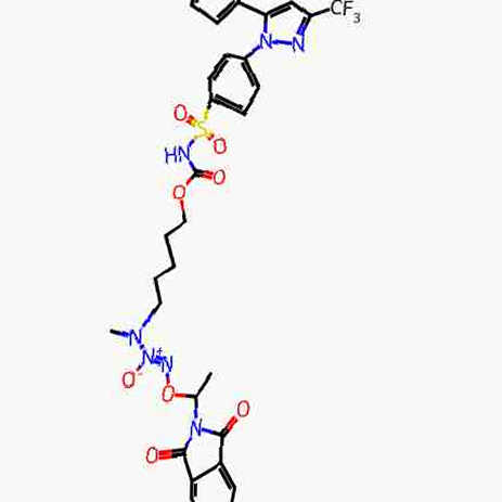 Cc1ccc(-c2cc(C(F)(F)F)nn2-c2ccc(S(=O)(=O)NC(=O)OCCCCCN(C)/[N+]([O-])=N/OC(C)N3C(=O)c4ccccc4C3=O)cc2)cc1